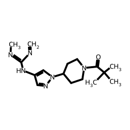 C=N/C(=N\C)Nc1cnn(C2CCN(C(=O)C(C)(C)C)CC2)c1